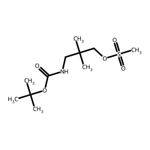 CC(C)(CNC(=O)OC(C)(C)C)COS(C)(=O)=O